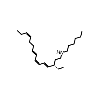 CC/C=C\CC/C=C/C=C\C=C\[C@@H](CC)CCNCCCCCC